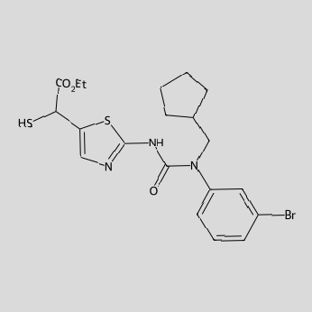 CCOC(=O)C(S)c1cnc(NC(=O)N(CC2CCCC2)c2cccc(Br)c2)s1